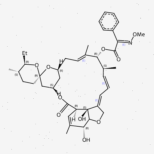 CC[C@H]1O[C@]2(CC[C@@H]1C)C[C@@H]1C[C@@H](C/C=C(\C)[C@H](OC(=O)/C(=N/OC)c3ccccc3)[C@@H](C)/C=C/C=C3\COC4[C@H](O)C(C)=C[C@@H](C(=O)O1)[C@]34O)O2